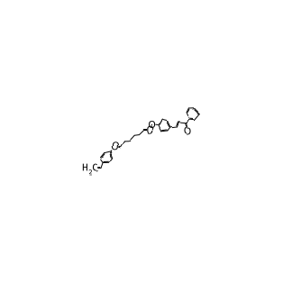 C=Cc1ccc(OCCCCCCOOc2ccc(/C=C/C(=O)c3ccccc3)cc2)cc1